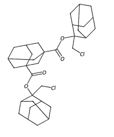 O=C(OC1(CCl)C2CC3CC(C2)CC1C3)C12CC3CC(C1)CC(C(=O)OC1(CCl)C4CC5CC(C4)CC1C5)(C3)C2